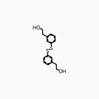 OCCc1cccc(SSc2cccc(CCO)c2)c1